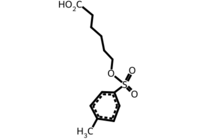 Cc1ccc(S(=O)(=O)OCCCCCC(=O)O)cc1